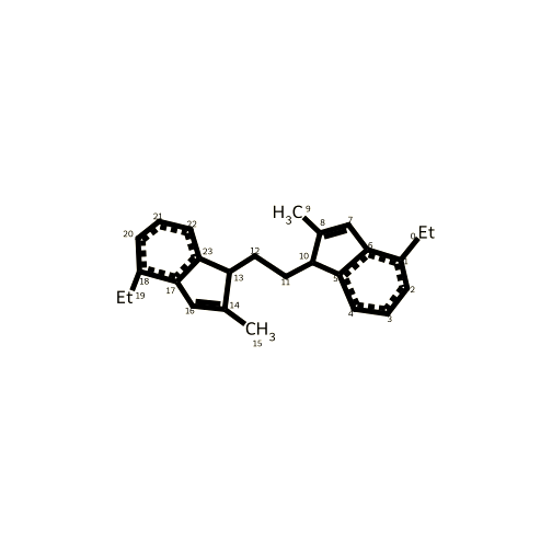 CCc1cccc2c1C=C(C)C2CCC1C(C)=Cc2c(CC)cccc21